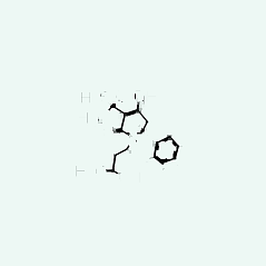 CC(C)CCN1C(=O)C(C(C)(C)C)=C(O)C[C@@H]1c1ccccc1